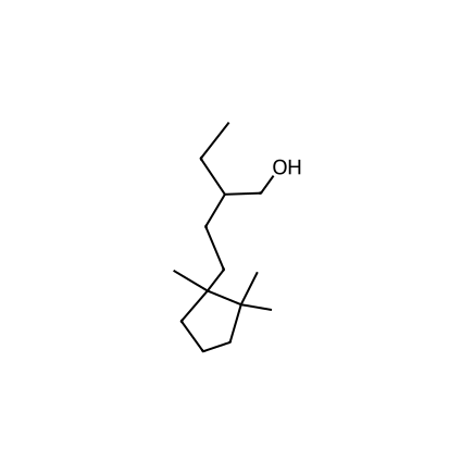 CCC(CO)CCC1(C)CCCC1(C)C